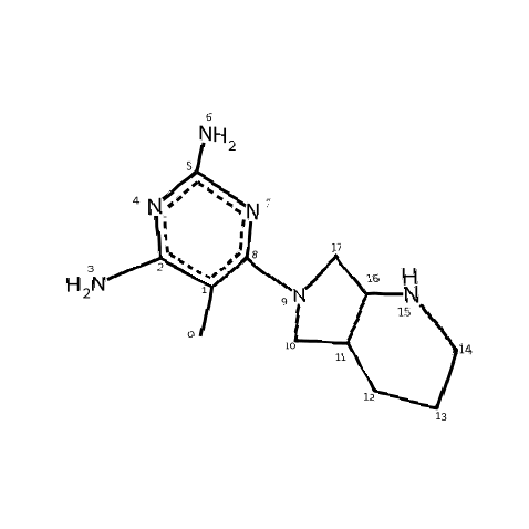 Cc1c(N)nc(N)nc1N1CC2CCCNC2C1